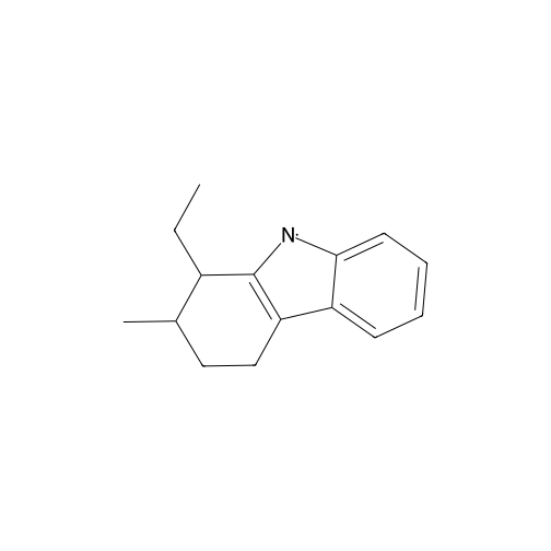 CCC1C2=C(CCC1C)c1ccccc1[N]2